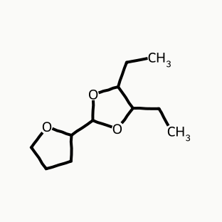 CCC1OC(C2CCCO2)OC1CC